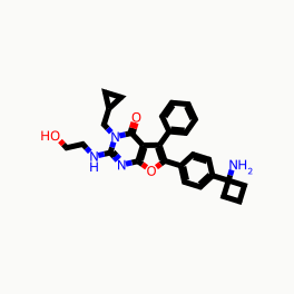 NC1(c2ccc(-c3oc4nc(NCCO)n(CC5CC5)c(=O)c4c3-c3ccccc3)cc2)CCC1